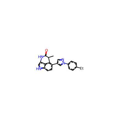 CCc1ccc(-n2cc(-c3ccc4[nH]cc5c4c3C(C)C(=O)N5)cn2)cc1